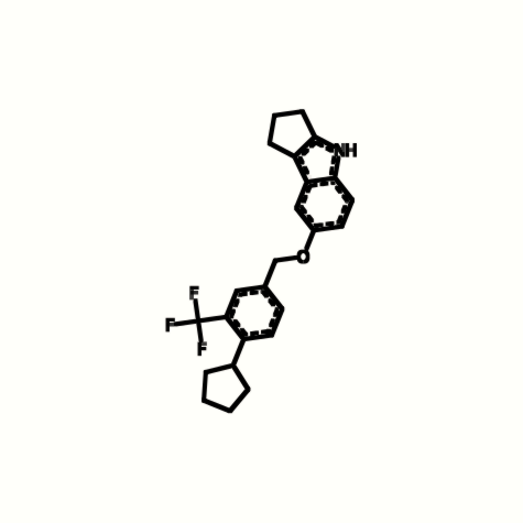 FC(F)(F)c1cc(COc2ccc3[nH]c4c(c3c2)CCC4)ccc1C1CCCC1